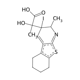 CC1N=c2sc3c(c2=CC1(I)C(C)(O)C(=O)O)CCCC3